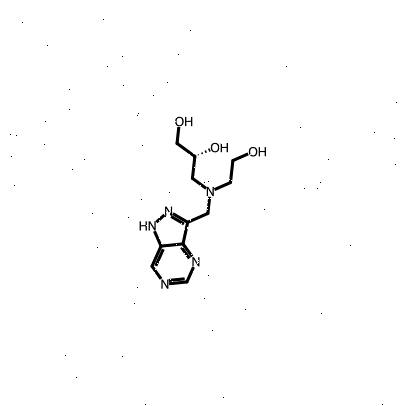 OCCN(Cc1n[nH]c2cncnc12)C[C@@H](O)CO